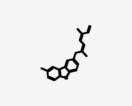 C=C/C(C)=C\C=C(\C)Cc1ccc2oc3ccc(C)cc3c2c1